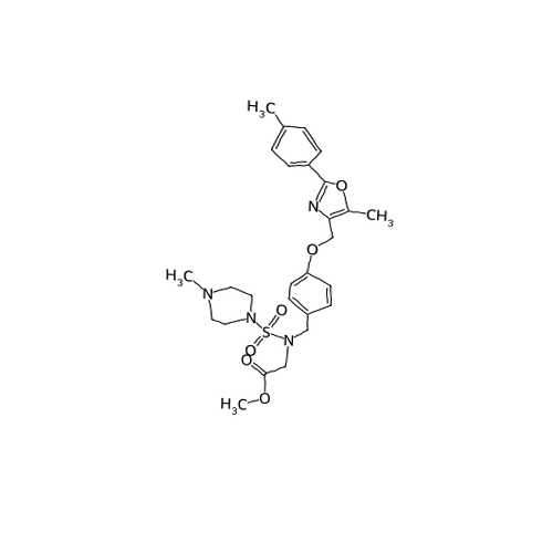 COC(=O)CN(Cc1ccc(OCc2nc(-c3ccc(C)cc3)oc2C)cc1)S(=O)(=O)N1CCN(C)CC1